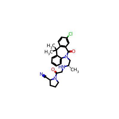 C[C@@H](CN1C(=O)c2cc(Cl)ccc2C(C)(C)c2ccccc21)NCC(=O)N1CCCC1C#N